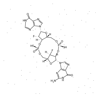 Nc1nc2c(ncn2[C@@H]2O[C@@H]3CO[P@@](=O)(S)O[C@H]4[C@H](F)[C@H](n5cnc6c(=O)[nH]cnc65)O[C@@H]4CO[P@@](=O)(S)O[C@@H]2[C@@H]3F)c(=O)[nH]1